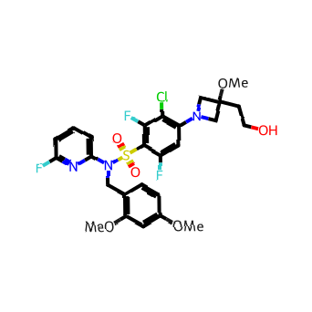 COc1ccc(CN(c2cccc(F)n2)S(=O)(=O)c2c(F)cc(N3CC(CCO)(OC)C3)c(Cl)c2F)c(OC)c1